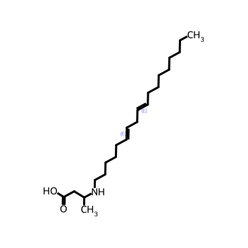 CCCCCCCC/C=C/C/C=C/CCCCCNC(C)CC(=O)O